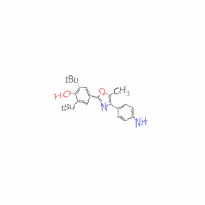 Cc1oc(-c2cc(C(C)(C)C)c(O)c(C(C)(C)C)c2)nc1-c1ccc([NH])cc1